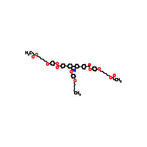 C=CC(=O)OCCCCCCOc1ccc(OC(=O)c2ccc(-c3ccc4c(c3)nc(Oc3ccc(OCCCCCC)cc3)c3cc(-c5ccc(C(=O)Oc6ccc(OCCCCCCOC(=O)C=C)cc6)cc5)ccc34)cc2)cc1